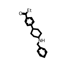 CCC(=O)c1ccc(C2CCC(NCc3ccccc3)CC2)cc1